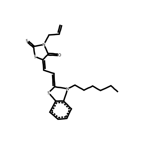 C=CCN1C(=O)/C(=C\C=C2/Sc3ccccc3N2CCCCCC)SC1=S